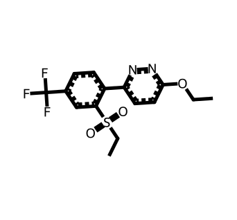 CCOc1ccc(-c2ccc(C(F)(F)F)cc2S(=O)(=O)CC)nn1